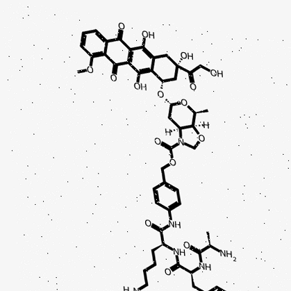 COc1cccc2c1C(=O)c1c(O)c3c(c(O)c1C2=O)C[C@@](O)(C(=O)CO)C[C@@H]3O[C@H]1C[C@H]2[C@H](OCN2C(=O)OCc2ccc(NC(=O)[C@H](CCCCN)NC(=O)[C@H](Cc3ccccc3)NC(=O)[C@@H](C)N)cc2)[C@H](C)O1